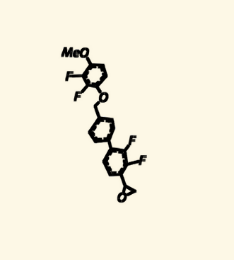 COc1ccc(OCc2ccc(-c3ccc(C4CO4)c(F)c3F)cc2)c(F)c1F